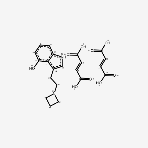 O=C(O)/C=C/C(=O)O.O=C(O)/C=C/C(=O)O.Oc1cccc2[nH]cc(CCN3CCC3)c12